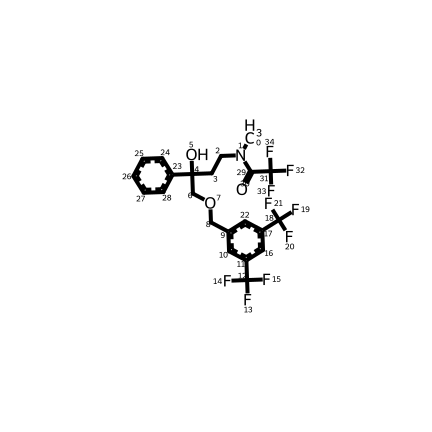 CN(CCC(O)(COCc1cc(C(F)(F)F)cc(C(F)(F)F)c1)c1ccccc1)C(=O)C(F)(F)F